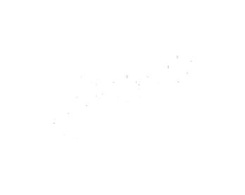 CCC(=O)N(CC1CCN(CCc2ccccc2)CC1)c1ccc2c(c1)OCO2